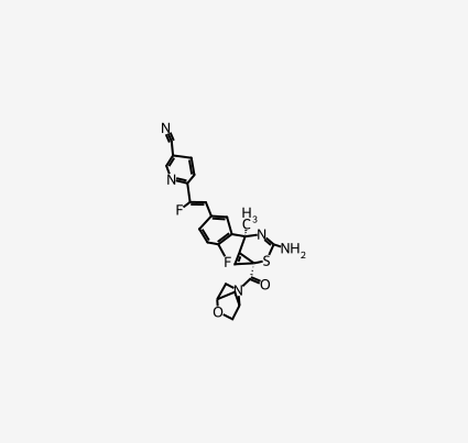 C[C@]1(c2cc(/C=C(\F)c3ccc(C#N)cn3)ccc2F)N=C(N)S[C@@]2(C(=O)N3CC4CC3CO4)C=C21